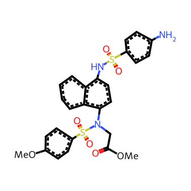 COC(=O)CN(c1ccc(NS(=O)(=O)c2ccc(N)cc2)c2ccccc12)S(=O)(=O)c1ccc(OC)cc1